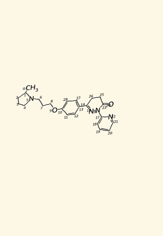 CC1CCCN1CCCOc1ccc(C2=NN(c3ccccn3)C(=O)CC2)cc1